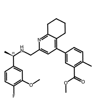 COC(=O)c1cc(-c2cc(CN[C@H](C)c3ccc(F)c(OC)c3)nc3c2CCCC3)ccc1C